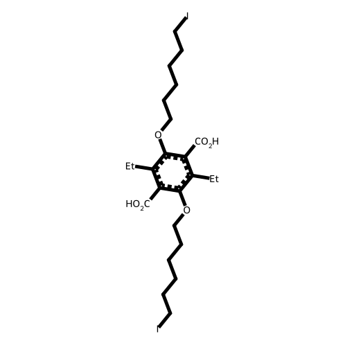 CCc1c(OCCCCCCI)c(C(=O)O)c(CC)c(OCCCCCCI)c1C(=O)O